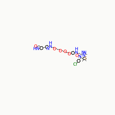 Cc1sc2c(c1C)C(c1ccc(Cl)cc1)=N[C@@H](CC(=O)Nc1ccc(OCCOCCOCCCOCCNc3ccc(-c4ccc5c(c4)CC(=O)N5)cn3)cc1)c1nnc(C)n1-2